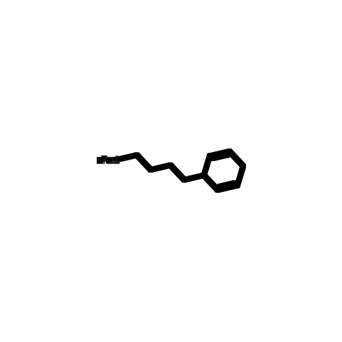 CCCCCCCCCC1C=CCC=C1